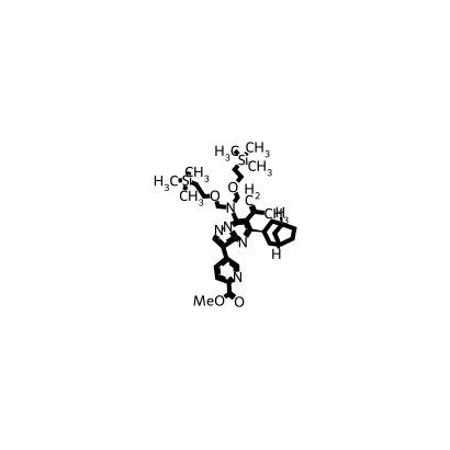 C=C(C)c1c([C@H]2C[C@@H]3CC[C@@H](C3)C2)nc2c(-c3ccc(C(=O)OC)nc3)cnn2c1N(COCC[Si](C)(C)C)COCC[Si](C)(C)C